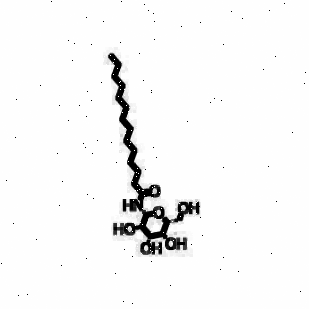 CCCCCCCCCCCCCC(=O)N[C@@H]1O[C@H](CO)[C@@H](O)[C@H](O)[C@H]1O